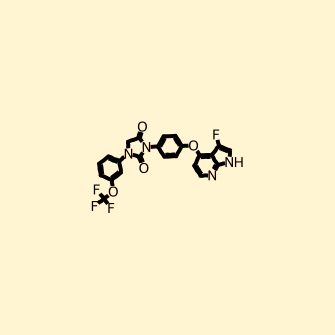 O=C1CN(c2cccc(OC(F)(F)F)c2)C(=O)N1c1ccc(Oc2ccnc3[nH]cc(F)c23)cc1